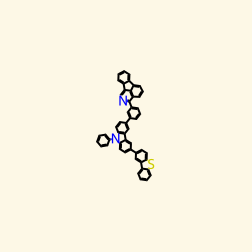 c1ccc(-n2c3ccc(-c4cccc(-c5ncc6c7c(cccc57)-c5ccccc5-6)c4)cc3c3cc(-c4ccc5sc6ccccc6c5c4)ccc32)cc1